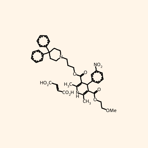 COCCOC(=O)C1=C(C)NC(C)=C(C(=O)OCCCN2CCC(c3ccccc3)(c3ccccc3)CC2)C1c1cccc([N+](=O)[O-])c1.O=C(O)/C=C/C(=O)O